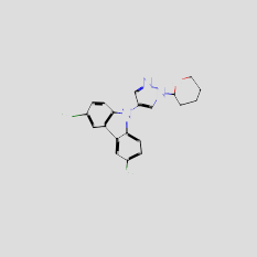 Brc1ccc2c(c1)c1cc(Br)ccc1n2-c1cnn(C2CCCCO2)c1